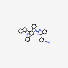 N#Cc1cccc(-c2nc(-n3c4ccccc4c4c5c6ccc7ccccc7c6n6c7ccc#cc7c(cc43)c56)nc3ccccc23)c1